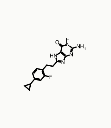 Nc1nc2nc(CCc3ccc(C4CC4)cc3F)[nH]c2c(=O)[nH]1